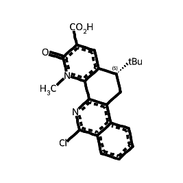 Cn1c2c(cc(C(=O)O)c1=O)[C@H](C(C)(C)C)Cc1c-2nc(Cl)c2ccccc12